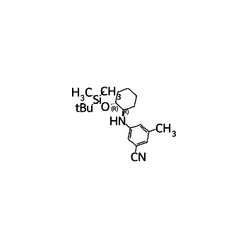 Cc1cc(C#N)cc(N[C@@H]2CCCC[C@H]2O[Si](C)(C)C(C)(C)C)c1